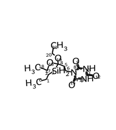 CCC[SiH2]C(CCn1c(=O)[nH]c(=O)[nH]c1=O)(OCC)OCC